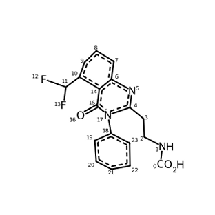 O=C(O)NCCc1nc2cccc(C(F)F)c2c(=O)n1-c1ccccc1